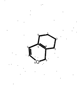 [CH]1CCCC2=C1C=COC2